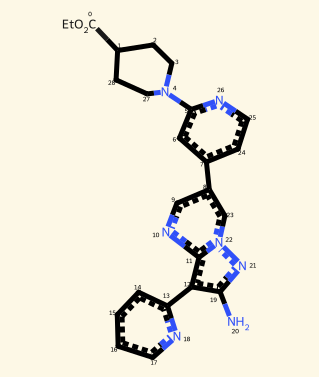 CCOC(=O)C1CCN(c2cc(-c3cnc4c(-c5ccccn5)c(N)nn4c3)ccn2)CC1